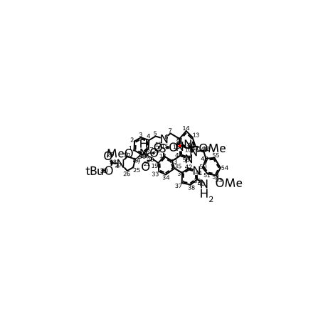 COc1ccc(CN(Cc2ccc(OC)cc2)S(=O)(=O)c2c(S(=O)(=O)N[C@H]3CCN(C(=O)OC(C)(C)C)C3)ccc(-c3ccc(N)nc3)c2-c2nnn(Cc3ccc(OC)cc3)n2)cc1